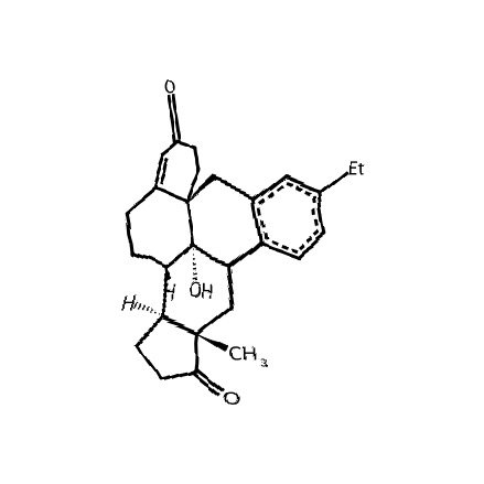 CCc1ccc2c(c1)C[C@]13CCC(=O)C=C1CC[C@H]1[C@@H]4CCC(=O)[C@@]4(C)CC2[C@@]13O